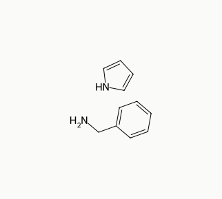 NCc1ccccc1.c1cc[nH]c1